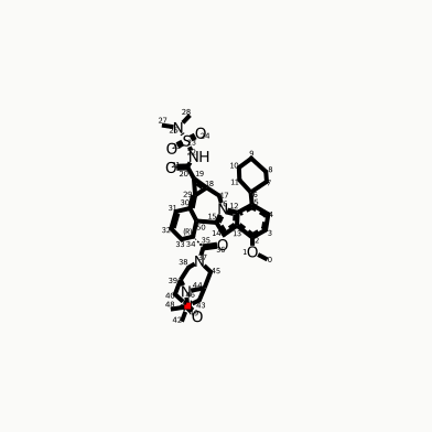 COc1ccc(C2CCCCC2)c2c1cc1n2CC2=C(C(=O)NS(=O)(=O)N(C)C)C2=C2C=CC[C@@H](C(=O)N3CC4CN(C)CC(C3)N4C(C)=O)C21